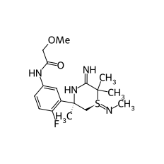 C/N=[S@]1/C[C@@](C)(c2cc(NC(=O)COC)ccc2F)NC(=N)C1(C)C